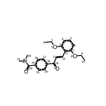 CCOc1cccc(OCC)c1/C=C/C(=O)c1ccc(C(=O)N(C)C)cc1